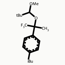 CCC(C)c1ccc(C(C)(OC(OC)C(C)(C)C)C(F)(F)F)cc1